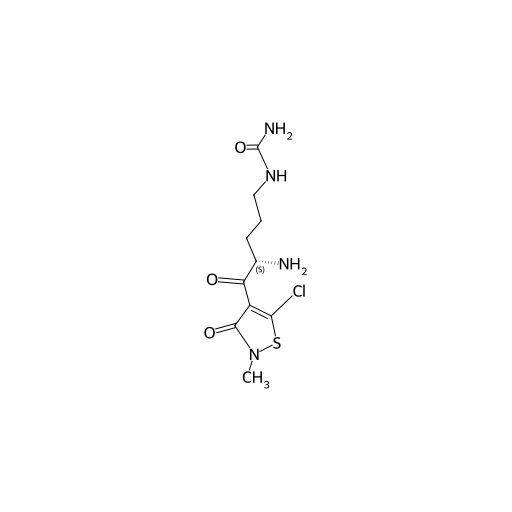 Cn1sc(Cl)c(C(=O)[C@@H](N)CCCNC(N)=O)c1=O